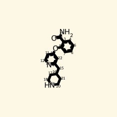 NC(=O)c1ccccc1Oc1ccnc(CC2CCNCC2)c1